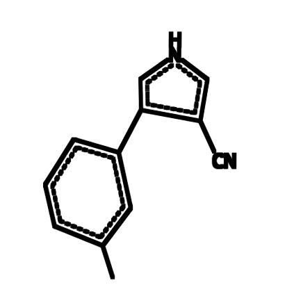 Cc1cccc(-c2c[nH]cc2C#N)c1